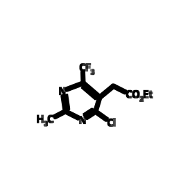 CCOC(=O)Cc1c(Cl)nc(C)nc1C(F)(F)F